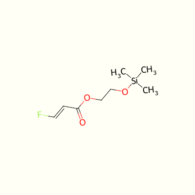 C[Si](C)(C)OCCOC(=O)C=CF